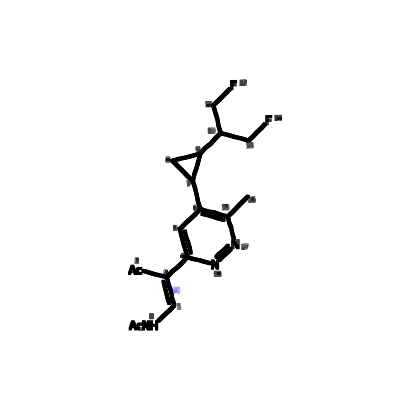 CC(=O)N/C=C(\C(C)=O)c1cc(C2CC2C(CF)CF)c(C)nn1